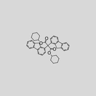 O=C(OC1CCCCC1)C(C(=O)OC1CCCCC1)(c1cccc2c1Cc1ccccc1-2)c1cccc2c1Cc1ccccc1-2